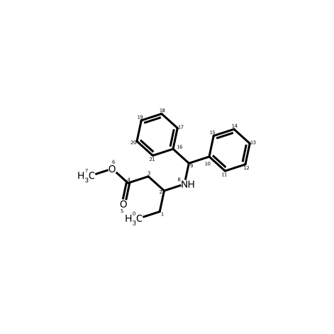 CCC(CC(=O)OC)NC(c1ccccc1)c1ccccc1